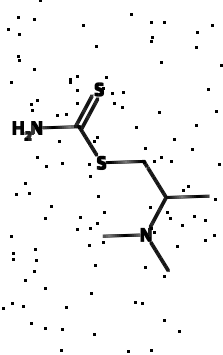 CC(CSC(N)=S)N(C)C